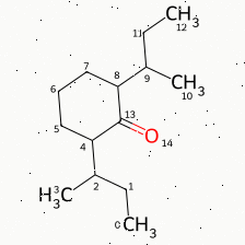 CCC(C)C1CCCC(C(C)CC)C1=O